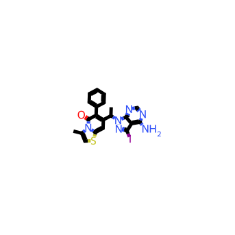 Cc1csc2cc(C(C)n3nc(I)c4c(N)ncnc43)c(-c3ccccc3)c(=O)n12